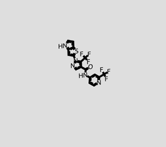 O=C(Nc1ccnc(C(F)(F)F)c1)c1cnn(-c2cc3[nH]ccc3s2)c1C(F)(F)F